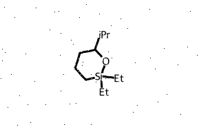 CC[Si]1(CC)CCCC(C(C)C)O1